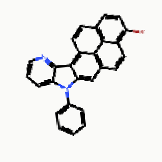 Brc1ccc2ccc3c4c(ccc1c24)cc1c3c2ncccc2n1-c1ccccc1